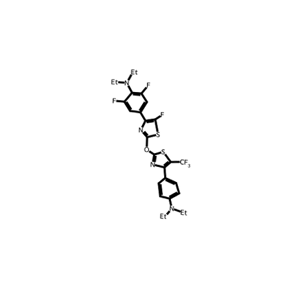 CCN(CC)c1ccc(-c2nc(Oc3nc(-c4cc(F)c(N(CC)CC)c(F)c4)c(F)s3)sc2C(F)(F)F)cc1